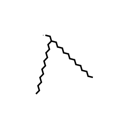 [CH2]CC(CCCCCCCCCCCCC)CCCCCCCCCCCCC